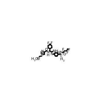 COCCn1cc(C(=O)N[C@H](c2nc3ccc([C@@H](C)NC(=O)C(F)C(F)CF)cc3[nH]2)C2CCC(F)(F)CC2)nn1